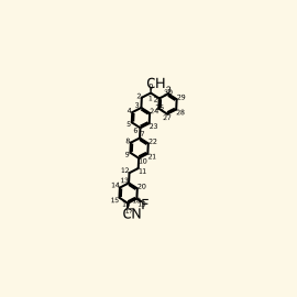 C[C@H](Cc1ccc(-c2ccc(CCc3ccc(C#N)c(F)c3)cc2)cc1)c1ccccc1